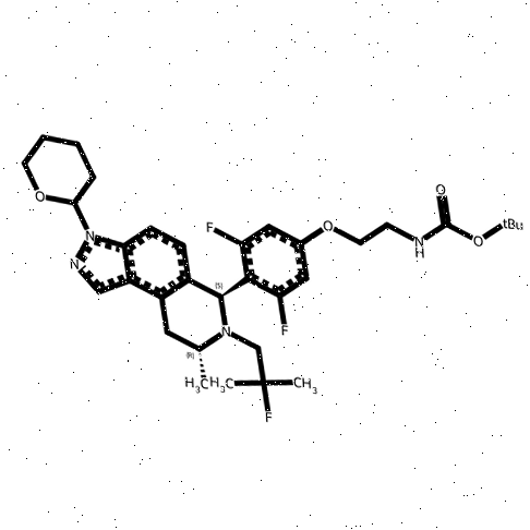 C[C@@H]1Cc2c(ccc3c2cnn3C2CCCCO2)[C@@H](c2c(F)cc(OCCNC(=O)OC(C)(C)C)cc2F)N1CC(C)(C)F